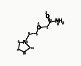 NC(=O)COCCN1CCCC1